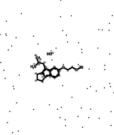 CCOCCOc1ccc2c(c1)c(C[C@H](C)N)c1n2CCC1.Cl